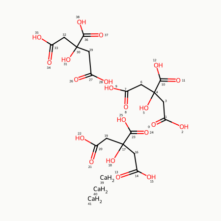 O=C(O)CC(O)(CC(=O)O)C(=O)O.O=C(O)CC(O)(CC(=O)O)C(=O)O.O=C(O)CC(O)(CC(=O)O)C(=O)O.[CaH2].[CaH2].[CaH2]